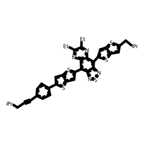 CCc1nc2c(-c3cc4sc(CC(C)C)cc4s3)c3nsnc3c(-c3cc4sc(-c5ccc(C#CCC(C)C)cc5)cc4s3)c2nc1CC